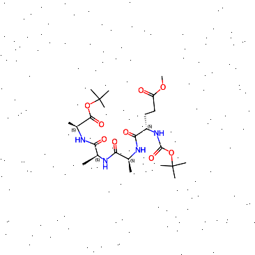 COC(=O)CC[C@H](NC(=O)OC(C)(C)C)C(=O)N[C@@H](C)C(=O)N[C@@H](C)C(=O)N[C@@H](C)C(=O)OC(C)(C)C